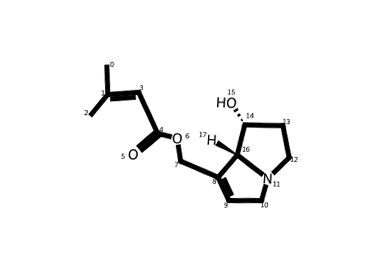 CC(C)=CC(=O)OCC1=CCN2CC[C@@H](O)[C@@H]12